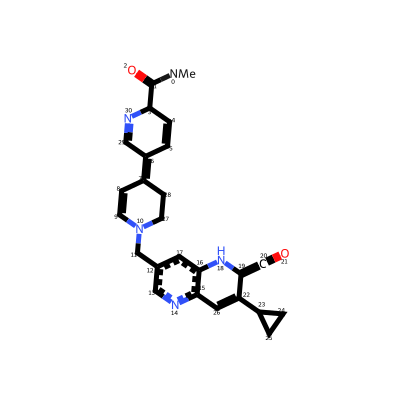 CNC(=O)C1C=CC(=C2C=CN(Cc3cnc4c(c3)NC(=C=O)C(C3CC3)=C4)CC2)C=N1